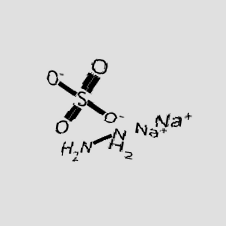 NN.O=S(=O)([O-])[O-].[Na+].[Na+]